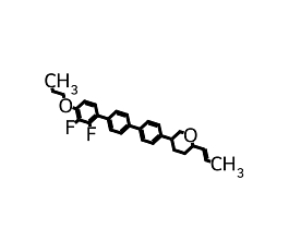 C/C=C/C1CCC(c2ccc(-c3ccc(-c4ccc(OCCC)c(F)c4F)cc3)cc2)CO1